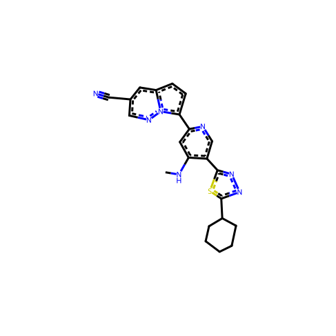 CNc1cc(-c2ccc3cc(C#N)cnn23)ncc1-c1nnc(C2CCCCC2)s1